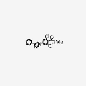 COC(=O)c1c(Cl)cc(-n2cnc(-c3ccccc3)c2)cc1Cl